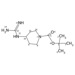 CC(C)(C)OC(=O)N1CCC(NC(=N)N)CC1